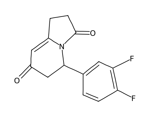 O=C1C=C2CCC(=O)N2C(c2ccc(F)c(F)c2)C1